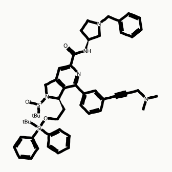 CN(C)CC#Cc1cccc(-c2nc(C(=O)N[C@H]3CCN(Cc4ccccc4)C3)cc3c2[C@@H](CCO[Si](c2ccccc2)(c2ccccc2)C(C)(C)C)N([S+]([O-])C(C)(C)C)C3)c1